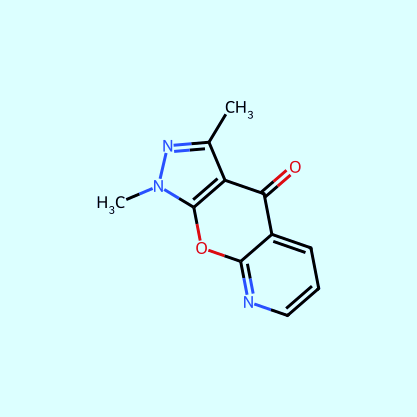 Cc1nn(C)c2oc3ncccc3c(=O)c12